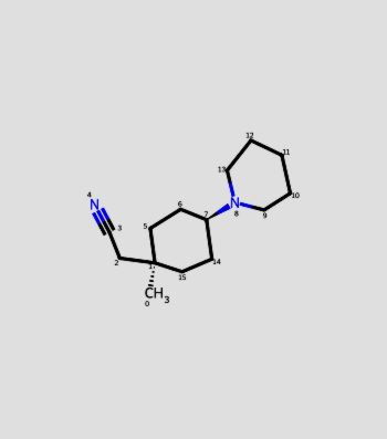 C[C@]1(CC#N)CC[C@@H](N2CCCCC2)CC1